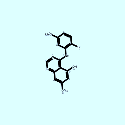 COc1ccc(Br)c(Nc2ncnc3cc(OC)cc(O)c23)c1